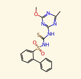 COc1nc(C)nc(NC(=S)NS(=O)(=O)c2ccccc2-c2ccccc2)n1